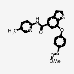 COOSc1ccc(Oc2cc(C(=O)Nc3ccc(C)cn3)cc3ccsc23)cc1